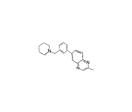 Cc1cnc2cc(-c3cccc(CN4CCCCC4)c3)ccc2n1